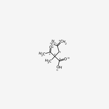 C=C(C)CC(C)(C(C)=O)C(=O)O